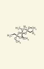 CC[Si](C)(OC)O[Si](CC)(OC)O[Si](C)(CC)OC